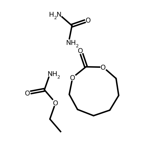 CCOC(N)=O.NC(N)=O.O=C1OCCCCCCO1